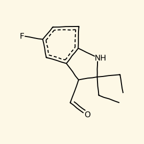 CCC1(CC)Nc2ccc(F)cc2C1C=O